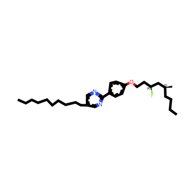 CCCCCCCCCCc1cnc(-c2ccc(OCC[C@H](F)C[C@@H](C)CCCC)cc2)nc1